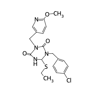 CCSC1NC(=O)N(Cc2ccc(OC)nc2)C(=O)N1Cc1ccc(Cl)cc1